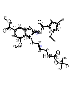 CCn1nc(C)cc1C(=O)/N=c1\sc2cc(C(=O)OC)cc(OC)c2n1C/C=C/CNC(=O)OC(C)(C)C